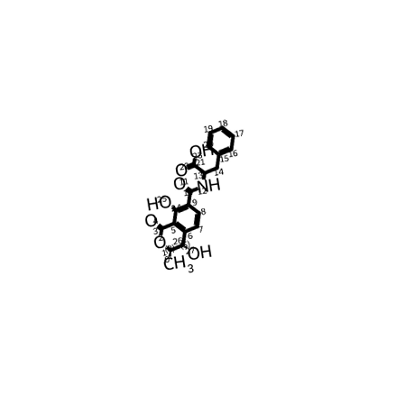 C[C@H]1OC(=O)c2c(ccc(C(=O)NC(Cc3ccccc3)C(=O)O)c2O)[C@@H]1O